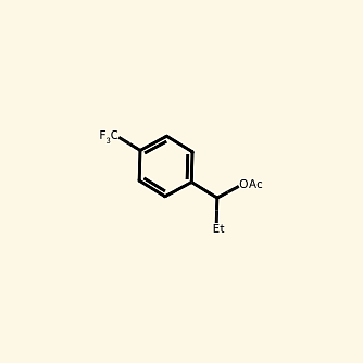 CCC(OC(C)=O)c1ccc(C(F)(F)F)cc1